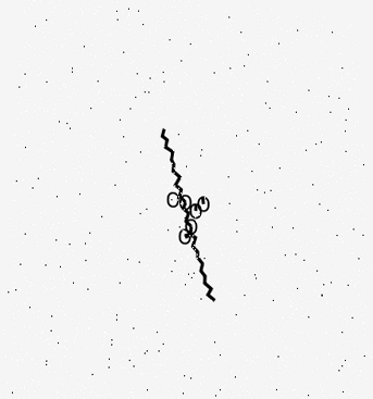 CCCCCCCCCCCC(=O)OCC(COC(=O)CCCCCCCCCCC)OCOC